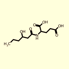 CCCC(O)CC(=O)NC(CCC(=O)O)C(=O)O